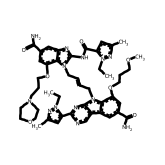 CCn1nc(C)cc1C(=O)Nc1nc2cc(C(N)=O)cc(OCCCN3CCOCC3)c2n1C/C=C/Cn1c2nc(-c3cc(C)nn3CC)ncc2c2cc(C(N)=O)cc(OCCCOC)c21